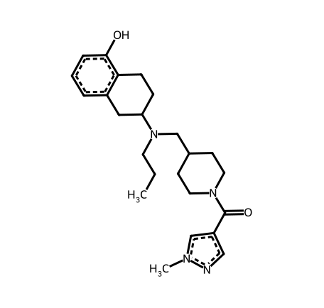 CCCN(CC1CCN(C(=O)c2cnn(C)c2)CC1)C1CCc2c(O)cccc2C1